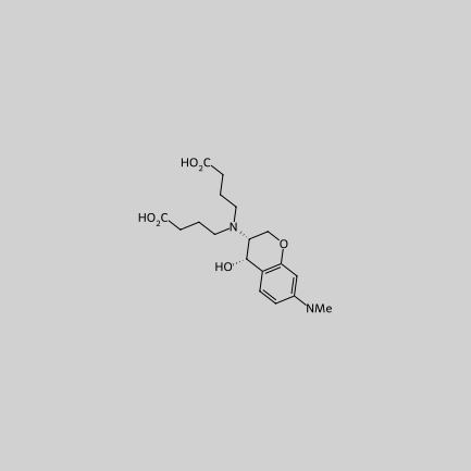 CNc1ccc2c(c1)OC[C@@H](N(CCCC(=O)O)CCCC(=O)O)[C@H]2O